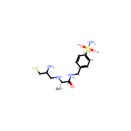 CCC(C)[C@H](NCC(N)CS)C(=O)NCc1ccc(S(N)(=O)=O)cc1